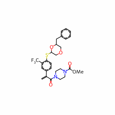 C=C(C(=O)N1CCN(C(=O)OC)CC1)c1ccc(SC2COCC(Cc3ccccc3)O2)c(C(F)(F)F)c1